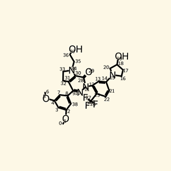 COc1cc(OC)cc(-c2nn(-c3cc(N4CCC(O)C4)ccc3C(F)(F)F)c(=O)c3c2CCN3CCO)c1